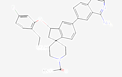 COC(=O)N1CCC2(CC1)CC(Oc1cc(F)ccc1CC(=O)O)c1cc(-c3ccc4ccnc(N)c4c3)ccc12